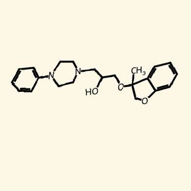 CC1(OCC(O)CN2CCN(c3ccccc3)CC2)COc2ccccc21